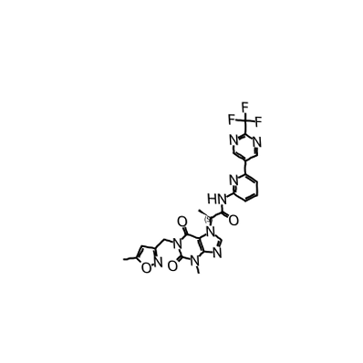 Cc1cc(Cn2c(=O)c3c(ncn3[C@@H](C)C(=O)Nc3cccc(-c4cnc(C(F)(F)F)nc4)n3)n(C)c2=O)no1